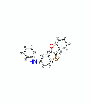 c1ccc(Nc2ccc3sc4c5ccccc5oc4c3c2)cc1